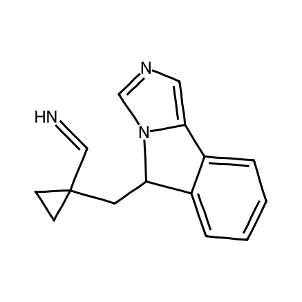 N=CC1(CC2c3ccccc3-c3cncn32)CC1